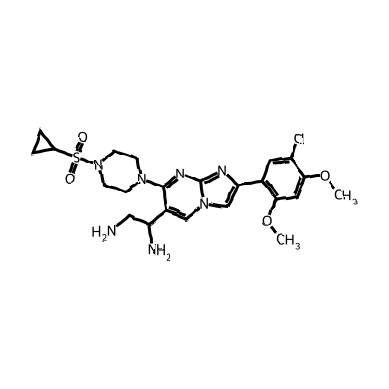 COc1cc(OC)c(-c2cn3cc(C(N)CN)c(N4CCN(S(=O)(=O)C5CC5)CC4)nc3n2)cc1Cl